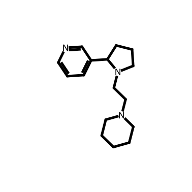 c1cncc(C2CCCN2CCN2CCCCC2)c1